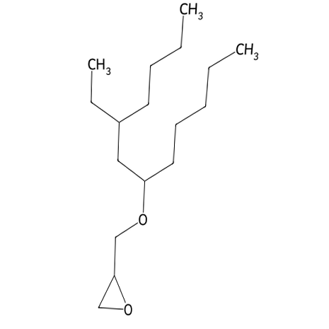 CCCCCC(CC(CC)CCCC)OCC1CO1